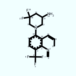 C=Nc1c(C(F)(F)F)ccc(N2CC(N)CC(F)(F)C2)c1/C=C\C